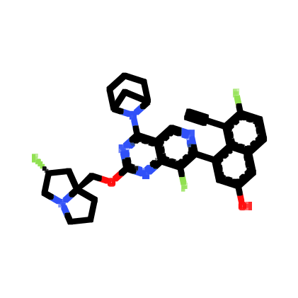 C#Cc1c(F)ccc2cc(O)cc(-c3ncc4c(N5C6CCCC5C6)nc(OC[C@@]56CCCN5C[C@H](F)C6)nc4c3F)c12